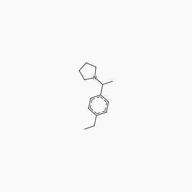 CCc1ccc(C(C)N2CCCC2)cc1